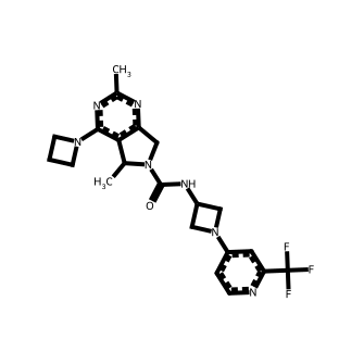 Cc1nc2c(c(N3CCC3)n1)C(C)N(C(=O)NC1CN(c3ccnc(C(F)(F)F)c3)C1)C2